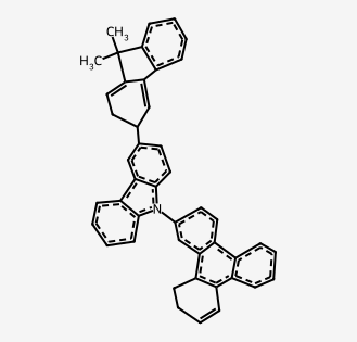 CC1(C)C2=CCC(c3ccc4c(c3)c3ccccc3n4-c3ccc4c(c3)c3c(c5ccccc54)C=CCC3)C=C2c2ccccc21